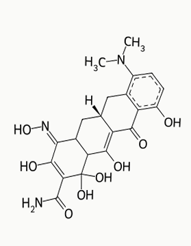 CN(C)c1ccc(O)c2c1C[C@H]1CC3/C(=N/O)C(O)=C(C(N)=O)C(O)(O)C3C(O)=C1C2=O